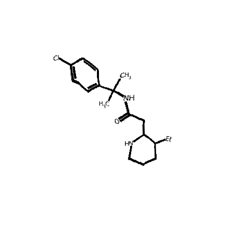 CCC1CCCNC1CC(=O)NC(C)(C)c1ccc(Cl)cc1